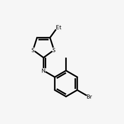 CCc1csc(=Nc2ccc(Br)cc2C)s1